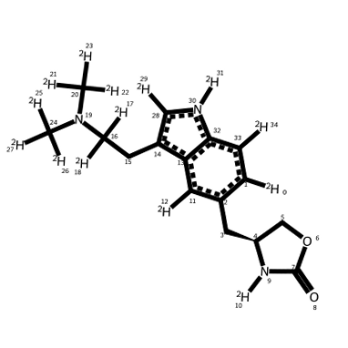 [2H]c1c(C[C@H]2COC(=O)N2[2H])c([2H])c2c(CC([2H])([2H])N(C([2H])([2H])[2H])C([2H])([2H])[2H])c([2H])n([2H])c2c1[2H]